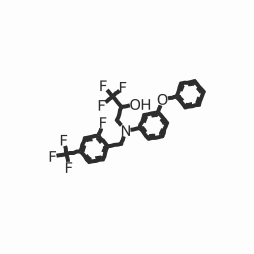 OC(CN(Cc1ccc(C(F)(F)F)cc1F)c1cccc(Oc2ccccc2)c1)C(F)(F)F